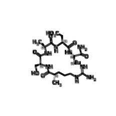 CC[C@H](C)[C@H](NC(=O)[C@H](CC(=O)O)NC(=O)[C@H](C)NC(=O)[C@H](CO)NC(=O)[C@@H](C)CCCNC(=N)N)C(N)=O